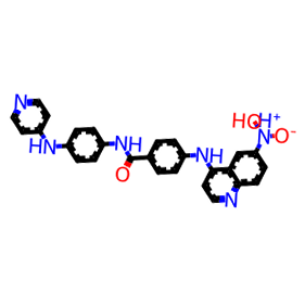 O=C(Nc1ccc(Nc2ccncc2)cc1)c1ccc(Nc2ccnc3ccc([NH+]([O-])O)cc23)cc1